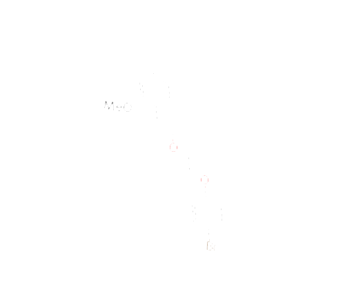 COc1ccccc1CCOCCOc1ccc(Br)cc1